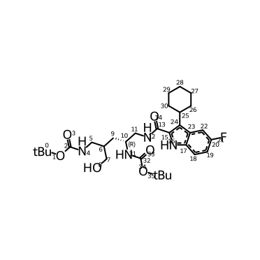 CC(C)(C)OC(=O)NCC(CO)C[C@H](CNC(=O)c1[nH]c2ccc(F)cc2c1C1CCCCC1)NC(=O)OC(C)(C)C